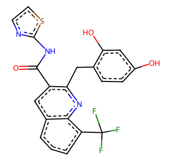 O=C(Nc1nccs1)c1cc2cccc(C(F)(F)F)c2nc1Cc1ccc(O)cc1O